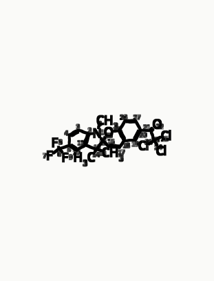 CN1c2ccc(C(F)(F)F)cc2C(C)(C)[C@@]12C=Cc1cc(C(=O)C(Cl)(Cl)Cl)ccc1O2